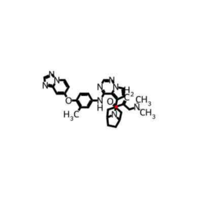 C=C(CN(C)C)C(=O)N1C2CCC1CC(c1ccn3ncnc(Nc4ccc(Oc5ccn6ncnc6c5)c(C)c4)c13)C2